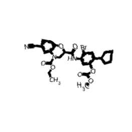 CCOC(=O)N1CC(C(=O)Nc2cc(OC(=O)OC)c(C3CCCC3)cc2Br)Oc2ccc(C#N)cc21